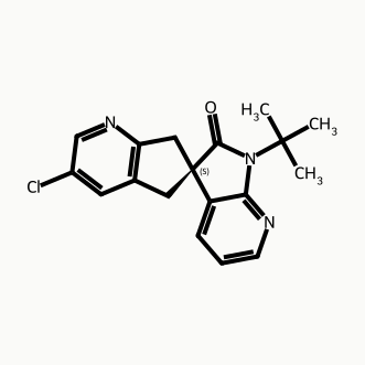 CC(C)(C)N1C(=O)[C@]2(Cc3cc(Cl)cnc3C2)c2cccnc21